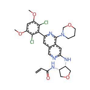 C=CC(=O)N[C@H]1COC[C@H]1Nc1cc2c(N3CCCOC3)nc(-c3c(Cl)c(OC)cc(OC)c3Cl)cc2cn1